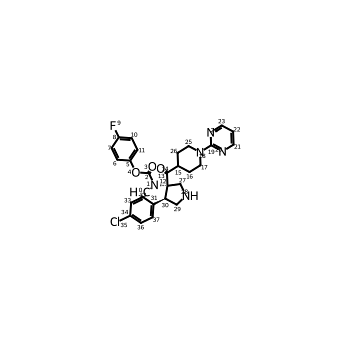 CN(C(=O)Oc1ccc(F)cc1)[C@]1(C(=O)C2CCN(c3ncccn3)CC2)CNC[C@H]1c1ccc(Cl)cc1